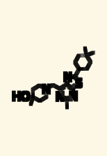 Cc1nc(CN2CCC(C)(O)CC2)c2nc(C3CCC(C)(C)CC3)sc2n1